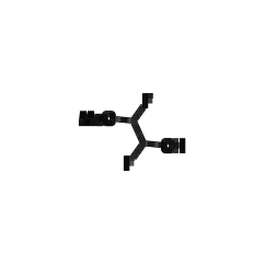 COC(F)C(O)F